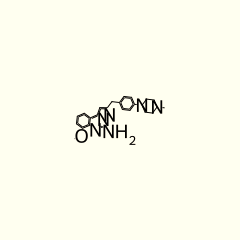 COc1cccc2c1nc(N)n1nc(Cc3ccc(N4CCN(C)CC4)cc3)cc21